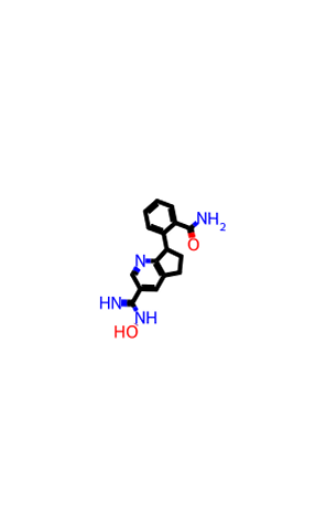 N=C(NO)c1cnc2c(c1)CCC2c1ccccc1C(N)=O